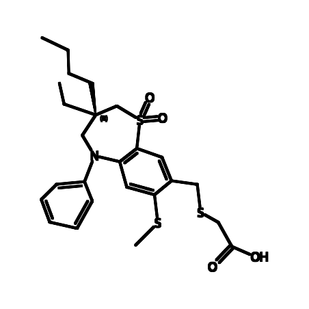 CCCC[C@]1(CC)CN(c2ccccc2)c2cc(SC)c(CSCC(=O)O)cc2S(=O)(=O)C1